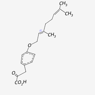 CC(C)=CCC/C(C)=C/COc1ccc(CC(=O)C(=O)O)cc1